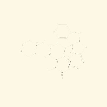 O=C1c2c(O)c(=O)ccn2N(C23c4ccccc4CC2Cc2ccccc23)CN1CC1CCCCC1